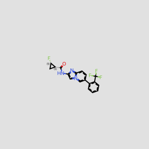 O=C(Nc1cn2cc(-c3ccccc3C(F)(F)F)ccc2n1)[C@@H]1C[C@@H]1F